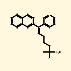 CC(C)(CCCC=C(c1cccnc1)c1ccc2ccccc2c1)C(=O)O